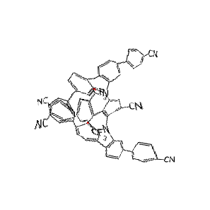 N#Cc1ccc(-c2ccc3c4ccc(-c5ccc(C#N)cc5)cc4n(-c4cc(C#N)cc(-n5c6cc(-c7ccc(C#N)cc7)ccc6c6ccc(-c7ccc(C#N)cc7)cc65)c4-c4c(C(F)(F)F)cccc4C(F)(F)F)c3c2)cc1